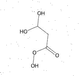 O=C(CC(O)O)OO